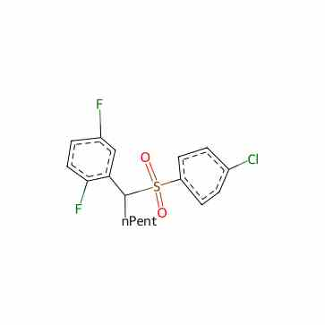 CCCCCC(c1cc(F)ccc1F)S(=O)(=O)c1ccc(Cl)cc1